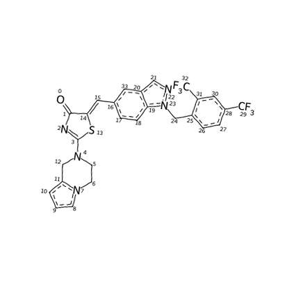 O=C1N=C(N2CCn3cccc3C2)S/C1=C\c1ccc2c(cnn2Cc2ccc(C(F)(F)F)cc2C(F)(F)F)c1